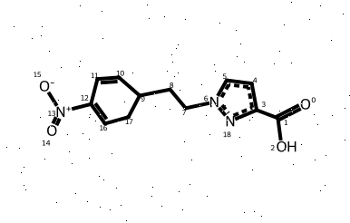 O=C(O)c1ccn(CCC2C=CC([N+](=O)[O-])=CC2)n1